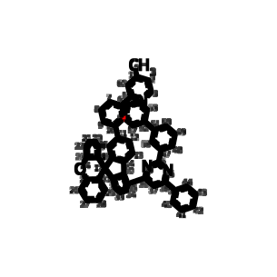 Cc1ccnc(-c2cccc(-c3ccc4c(c3)C3(c5ccccc5Oc5ccccc53)c3cccc(-c5cc(-c6ccccc6)nc(-c6cccc(-c7ccccc7)c6)n5)c3-4)c2)c1